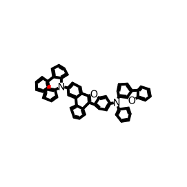 c1ccc(-c2ccccc2N(c2ccccc2)c2ccc3c(c2)c2ccccc2c2c4ccc(N(c5ccccc5)c5cccc6c5oc5ccccc56)cc4oc32)cc1